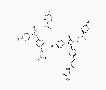 O=C(O)CNC(=O)COc1ccc([C@@H]2[C@@H](SCC(=O)c3ccc(Cl)cc3)C(=O)N2c2ccc(Cl)cc2)cc1.O=C(O)COc1ccc([C@@H]2[C@@H](SCC(=O)c3ccc(Cl)cc3)C(=O)N2c2ccc(Cl)cc2)cc1